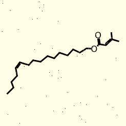 CCCC/C=C\CCCCCCCCCCOC(=O)C=C(C)C